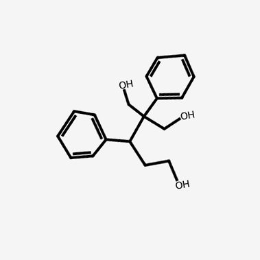 OCCC(c1ccccc1)C(CO)(CO)c1ccccc1